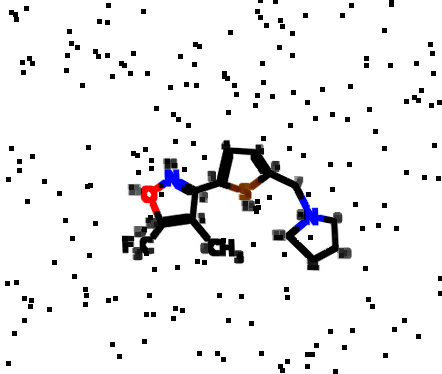 Cc1c(-c2ccc(CN3CCCC3)s2)noc1C(F)(F)F